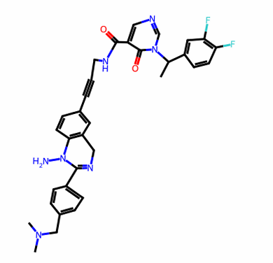 CC(c1ccc(F)c(F)c1)n1cncc(C(=O)NCC#Cc2ccc3c(c2)CN=C(c2ccc(CN(C)C)cc2)N3N)c1=O